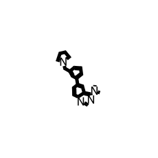 CN(C)c1ncnc2ccc(-c3cccc(CN4CCCC4)c3)cc12